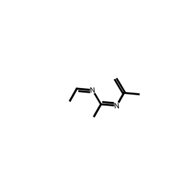 C=C(C)/N=C(C)\N=C/C